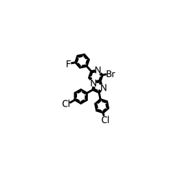 Fc1cccc(-c2cn3c(-c4ccc(Cl)cc4)c(-c4ccc(Cl)cc4)nc3c(Br)n2)c1